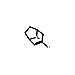 CCC1=CC2CCC(C1)N2CC